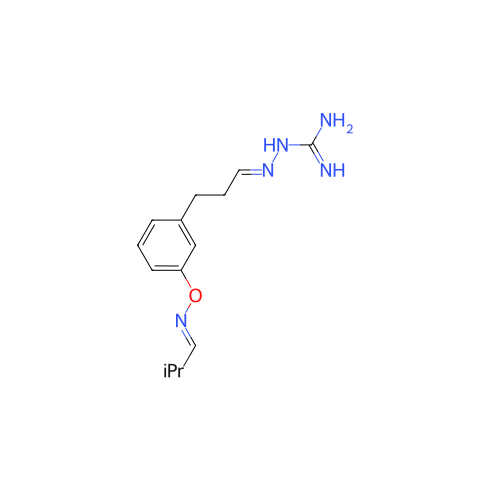 CC(C)/C=N/Oc1cccc(CC/C=N/NC(=N)N)c1